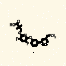 CC(C)(COc1nc(Oc2cccc(-c3cccc(CN)c3)c2)c(F)cc1F)C(=O)O